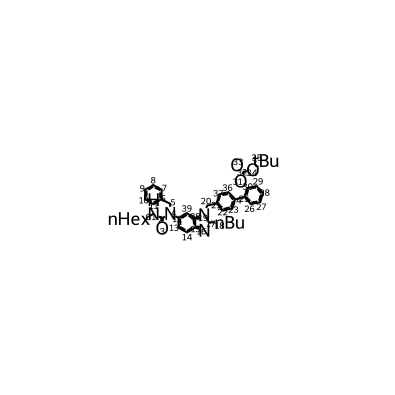 CCCCCCNC(=O)N(Cc1ccccc1)c1ccc2nc(CCCC)n(Cc3ccc(-c4ccccc4OC(=O)OC(C)(C)C)cc3)c2c1